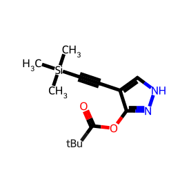 CC(C)(C)C(=O)Oc1n[nH]cc1C#C[Si](C)(C)C